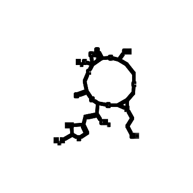 C/C(=C\C1=CSC(N)N1)C1CC2C(CCCCC(O)CC(=O)C(C)(C)CCC(=O)O1)N2CCO